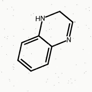 [C]1=Nc2ccccc2NC1